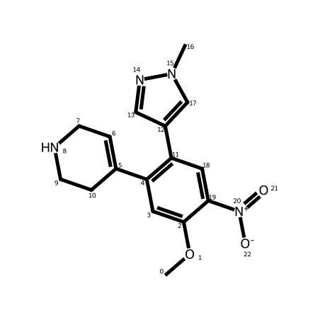 COc1cc(C2=CCNCC2)c(-c2cnn(C)c2)cc1[N+](=O)[O-]